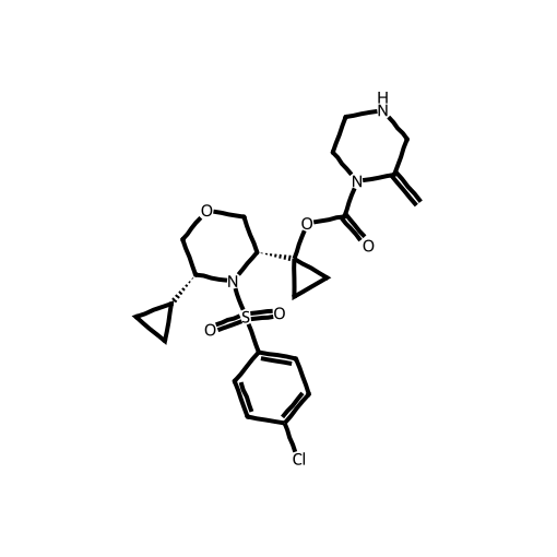 C=C1CNCCN1C(=O)OC1([C@H]2COC[C@@H](C3CC3)N2S(=O)(=O)c2ccc(Cl)cc2)CC1